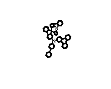 c1ccc(-c2ccc(N(c3ccc4c(c3)C3(c5ccccc5-4)c4ccccc4-n4c5ccccc5c5cccc3c54)c3ccc4c5ccccc5c5ccccc5c4c3)cc2)cc1